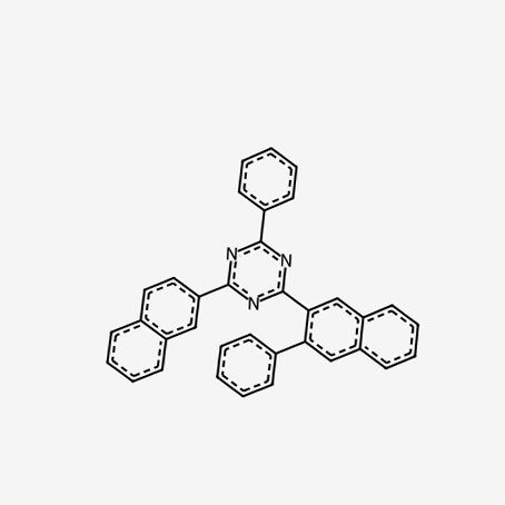 c1ccc(-c2nc(-c3ccc4ccccc4c3)nc(-c3cc4ccccc4cc3-c3ccccc3)n2)cc1